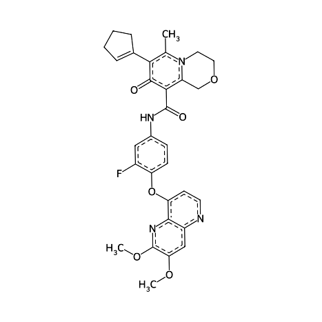 COc1cc2nccc(Oc3ccc(NC(=O)c4c5n(c(C)c(C6=CCCC6)c4=O)CCOC5)cc3F)c2nc1OC